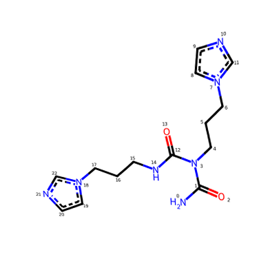 NC(=O)N(CCCn1ccnc1)C(=O)NCCCn1ccnc1